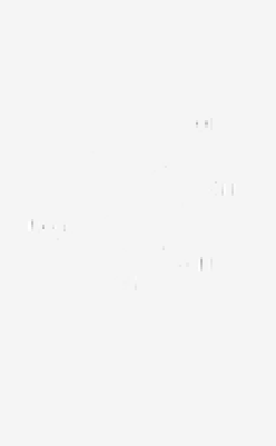 O=C(O)c1c(O)c(O)c(O)c2c(O)cccc12